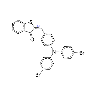 O=C1/C(=C\c2ccc(N(c3ccc(Br)cc3)c3ccc(Br)cc3)cc2)Sc2ccccc21